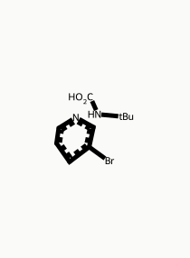 Brc1cccnc1.CC(C)(C)NC(=O)O